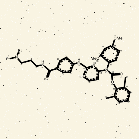 CCN(CC)CCCNC(=O)c1ccc(Nc2nccc(N(C(=O)Oc3c(C)cccc3C)c3ccc(OC)cc3OC)n2)cc1